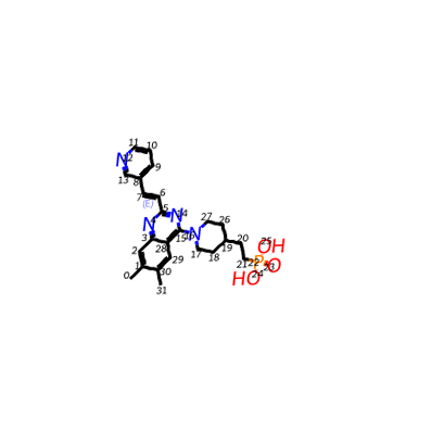 Cc1cc2nc(/C=C/c3cccnc3)nc(N3CCC(CCP(=O)(O)O)CC3)c2cc1C